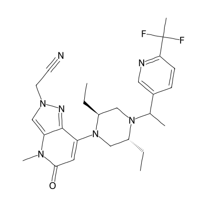 CC[C@H]1CN(C(C)c2ccc(C(C)(F)F)nc2)[C@H](CC)CN1c1cc(=O)n(C)c2cn(CC#N)nc12